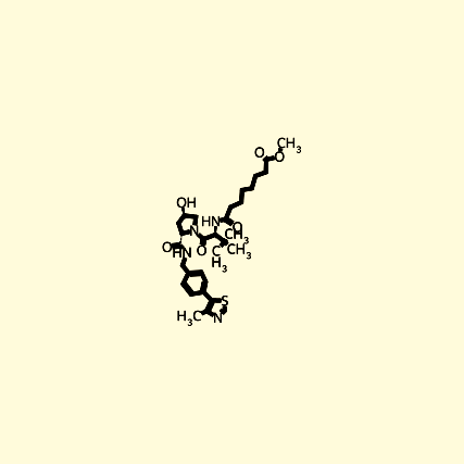 COC(=O)CCCCCCC(=O)N[C@H](C(=O)N1C[C@H](O)C[C@H]1C(=O)NCc1ccc(-c2scnc2C)cc1)C(C)(C)C